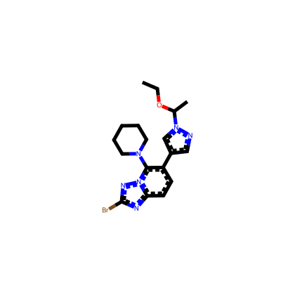 CCOC(C)n1cc(-c2ccc3nc(Br)nn3c2N2CCCCC2)cn1